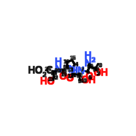 C[C@@H](O)[C@H](N)C(=O)N[C@@H](CO)C(=O)N1CCC[C@H]1C(=O)N[C@@H](CO)C(=O)O